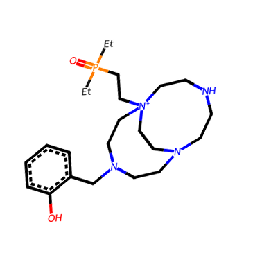 CCP(=O)(CC)CC[N+]12CCNCCN(CCN(Cc3ccccc3O)CC1)CC2